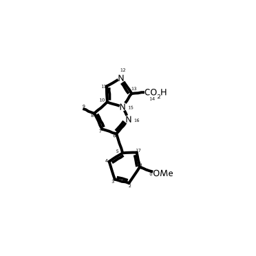 COc1cccc(-c2cc(C)c3cnc(C(=O)O)n3n2)c1